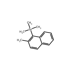 Cc1ccc2ccccc2[c]1[Sn]([CH3])([CH3])[CH3]